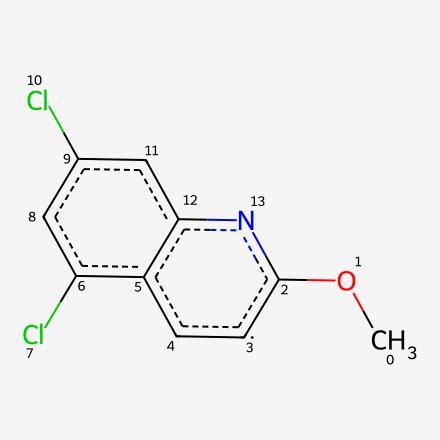 COc1[c]cc2c(Cl)cc(Cl)cc2n1